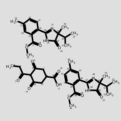 CCC(=O)C1C(=O)CC(C(=O)O)CC1=O.COC(=O)c1cc(C)ccc1C1=NC(C)(C(C)C)C(=O)N1.COC(=O)c1ccc(C)cc1C1=NC(C)(C(C)C)C(=O)N1